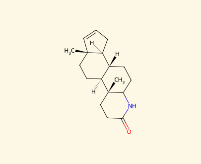 C[C@@]12C=CC[C@H]1[C@@H]1CCC3NC(=O)CC[C@]3(C)[C@H]1CC2